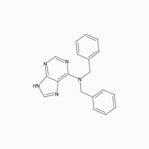 c1ccc(CN(Cc2ccccc2)c2ncnc3[nH]cnc23)cc1